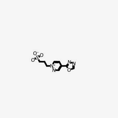 O=S(=O)([O-])CCC[n+]1ccc(-c2nnco2)cn1